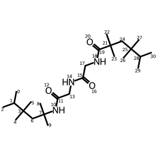 CC(C)C(C)(C)CC(C)(C)NC(=O)CNC(=O)CNC(=O)C(C)(C)CC(C)(C)C(C)C